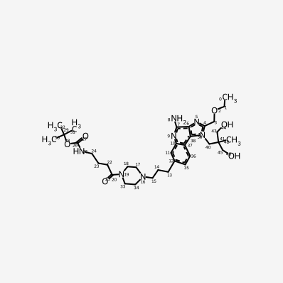 CCOCc1nc2c(N)nc3cc(CCCN4CCN(C(=O)CCCNC(=O)OC(C)(C)C)CC4)ccc3c2n1CC(C)(CO)CO